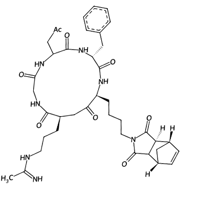 CC(=N)NCCC[C@@H]1CC(=O)[C@H](CCCCN2C(=O)C3[C@@H](C2=O)[C@@H]2C=C[C@H]3C2)NC(=O)[C@@H](Cc2ccccc2)NC(=O)C(CC(C)=O)NC(=O)CNC1=O